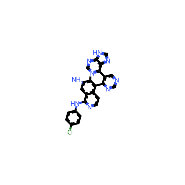 Cc1ccc2c(Nc3ccc(Cl)cc3)nccc2c1-c1ncncc1-c1ncnc2[nH]cnc12.N